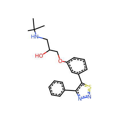 CC(C)(C)NCC(O)COc1cccc(-c2snnc2-c2ccccc2)c1